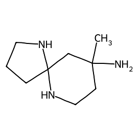 CC1(N)CCNC2(CCCN2)C1